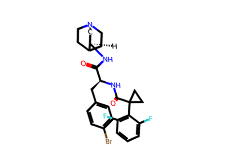 O=C(N[C@@H]1CN2CCC1CC2)[C@H](Cc1ccc(Br)cc1)NC(=O)C1(c2c(F)cccc2F)CC1